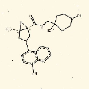 CN1CCC(O)(CNC(=O)[C@]23CN(c4ccc(C#N)c5ncccc45)C[C@@]2(C(F)(F)F)C3)CC1